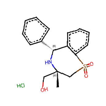 C[C@]1(CO)CS(=O)(=O)c2ccccc2[C@@H](c2ccccc2)N1.Cl